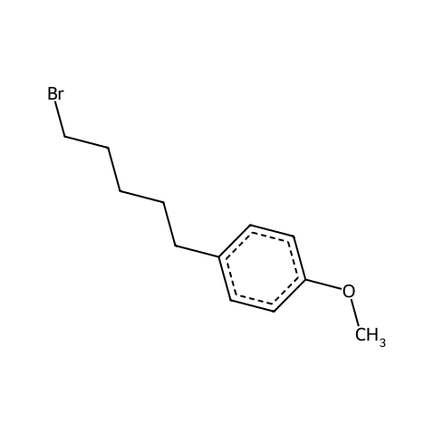 COc1ccc(CCCCCBr)cc1